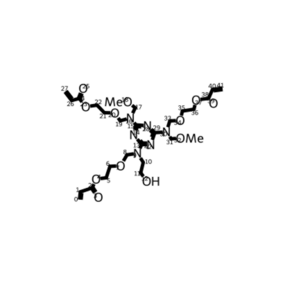 C=CC(=O)OCCOCN(CCO)c1nc(N(COC)COCCOC(=O)C=C)nc(N(COC)COCCOC(=O)C=C)n1